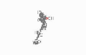 CNC(=O)C(CCCCNC(=O)CCCCCN1C(=O)C=CC1=O)CC(=O)c1ccc2c(c1)C(=O)OC21c2ccc(O)cc2Oc2cc(O)ccc21